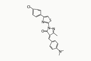 CC1=NN(c2nc(-c3ccc(Cl)cc3)cs2)C(=O)/C1=C/c1ccc(N(C)C)cc1